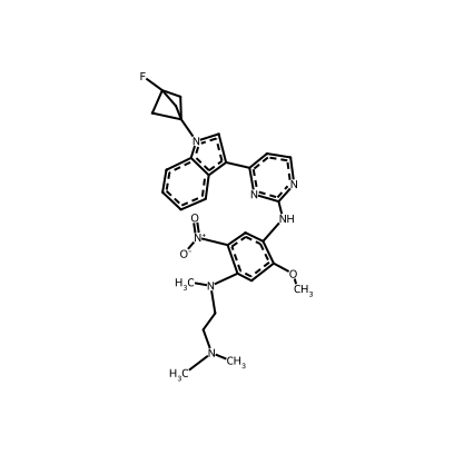 COc1cc(N(C)CCN(C)C)c([N+](=O)[O-])cc1Nc1nccc(-c2cn(C34CC(F)(C3)C4)c3ccccc23)n1